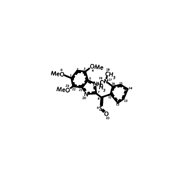 COc1cc(OC)c2[nH]c(C(=S=O)c3ccccc3N(C)C)nc2c1OC